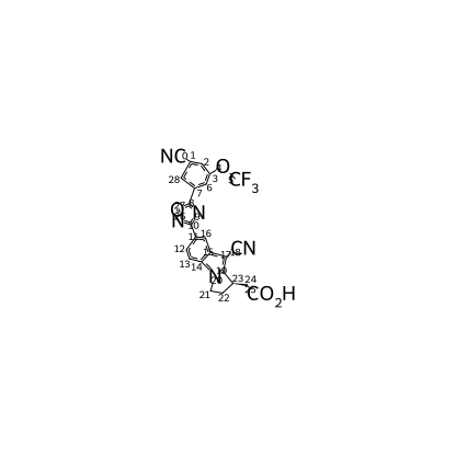 N#Cc1cc(OC(F)(F)F)cc(-c2nc(-c3ccc4c(c3)c(C#N)c3n4CC[C@@H]3CC(=O)O)no2)c1